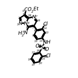 CCOC(=O)c1cnn2c(N)c(-c3ccc(NS(=O)(=O)c4ccccc4Cl)cc3Cl)cnc12